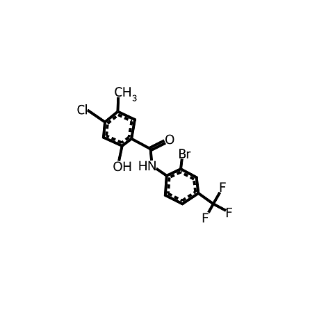 Cc1cc(C(=O)Nc2ccc(C(F)(F)F)cc2Br)c(O)cc1Cl